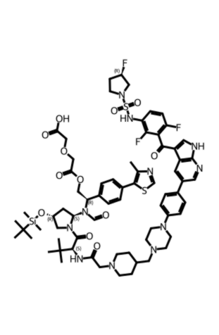 Cc1ncsc1-c1ccc([C@H](COC(=O)COCC(=O)O)N(C=O)[C@@H]2C[C@@H](O[Si](C)(C)C(C)(C)C)CN2C(=O)[C@@H](NC(=O)CN2CCC(CN3CCN(c4ccc(-c5cnc6[nH]cc(C(=O)c7c(F)ccc(NS(=O)(=O)N8CC[C@@H](F)C8)c7F)c6c5)cc4)CC3)CC2)C(C)(C)C)cc1